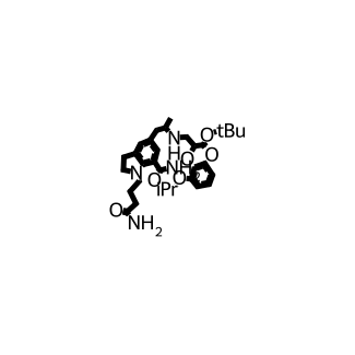 CC(Cc1cc2c(c(C(N)=O)c1)N(CCCC(N)=O)CC2)NCC(Oc1ccccc1OC(C)C)C(=O)OC(C)(C)C